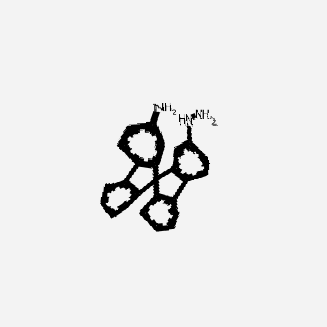 NNc1ccc2c(c1)C1(c3ccccc3-c3ccc(N)cc31)c1ccccc1-2